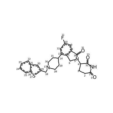 O=C1CCC(N2Cc3c(cc(F)cc3C3CCN(Cc4cc5ccccc5s4)CC3)C2=O)C(=O)N1